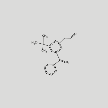 C=C(c1ccccc1)c1cc(CC=O)cc(C(C)(C)C)c1